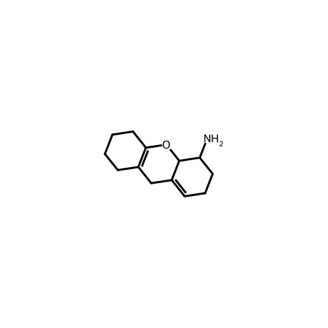 NC1CCC=C2CC3=C(CCCC3)OC21